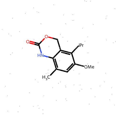 COc1cc(C)c2c(c1C(C)C)COC(=O)N2